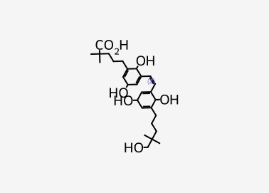 CC(C)(CO)CCCC1=CC(O)C=C(/C=C\C2=CC(O)C=C(CCCC(C)(C)C(=O)O)C2O)C1O